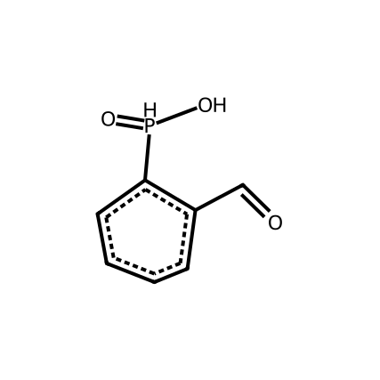 O=Cc1ccccc1[PH](=O)O